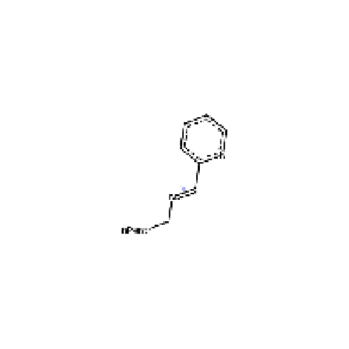 CCCCCC/N=C/c1ccccn1